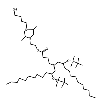 CCCCCCCCCCC(CN(CCCC(=O)OCCN1CC(C)N(CCCCS)CC1C)CC(CCCCCCCCCC)O[Si](C)(C)C(C)(C)C)O[Si](C)(C)C(C)(C)C